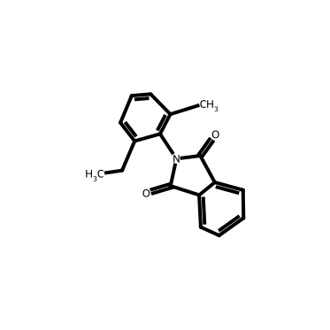 CCc1cccc(C)c1N1C(=O)c2ccccc2C1=O